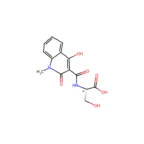 Cn1c(=O)c(C(=O)N[C@@H](CO)C(=O)O)c(O)c2ccccc21